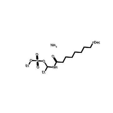 CCCCCCCCCCCCCCCCCC(=O)NC(CC)OS(=O)(=O)OCC.N